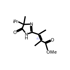 COC(=O)/C(C)=C(\C)C1=NC(C)(C(C)C)C(=O)N1